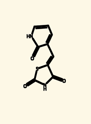 O=C1NC(=O)C(=Cc2ccc[nH]c2=O)S1